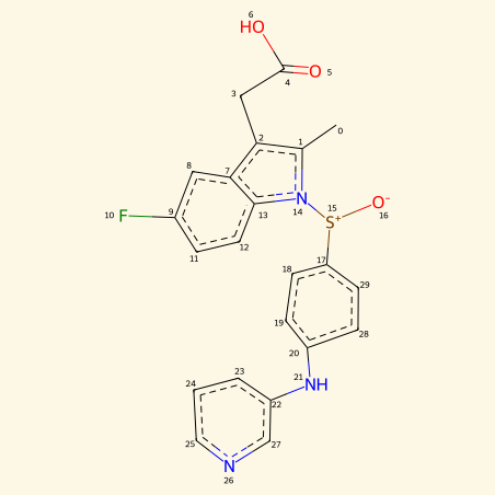 Cc1c(CC(=O)O)c2cc(F)ccc2n1[S+]([O-])c1ccc(Nc2cccnc2)cc1